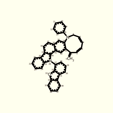 C=C1/C=C\C=C/CN(c2ccccc2)c2cc3ccc4c5ccccc5n(-c5cccc6c5oc5ccccc56)c4c3cc21